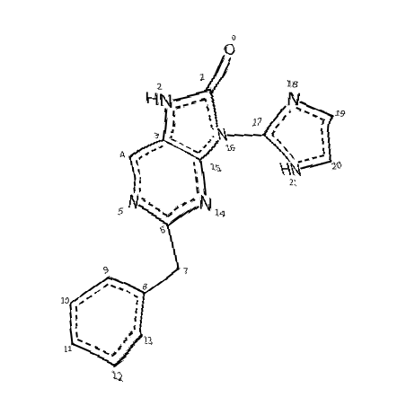 O=c1[nH]c2cnc(Cc3ccccc3)nc2n1-c1ncc[nH]1